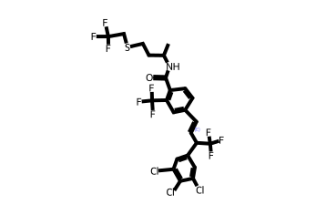 CC(CCSCC(F)(F)F)NC(=O)c1ccc(/C=C/C(c2cc(Cl)c(Cl)c(Cl)c2)C(F)(F)F)cc1C(F)(F)F